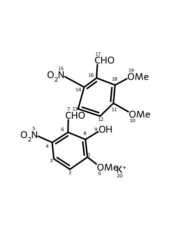 COc1ccc([N+](=O)[O-])c(C=O)c1O.COc1ccc([N+](=O)[O-])c(C=O)c1OC.[K+]